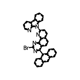 Brc1nc(-c2c3ccccc3cc3ccccc23)c2ccc3ccc(-n4c5ccccc5c5cccnc54)nc3c2n1